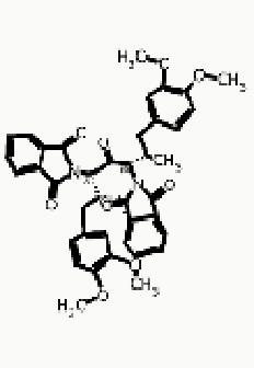 COc1ccc(CC(C)[C@@H](C(=O)[C@H](C(C)Cc2ccc(OC)c(OC)c2)N2C(=O)c3ccccc3C2=O)N2C(=O)c3ccccc3C2=O)cc1OC